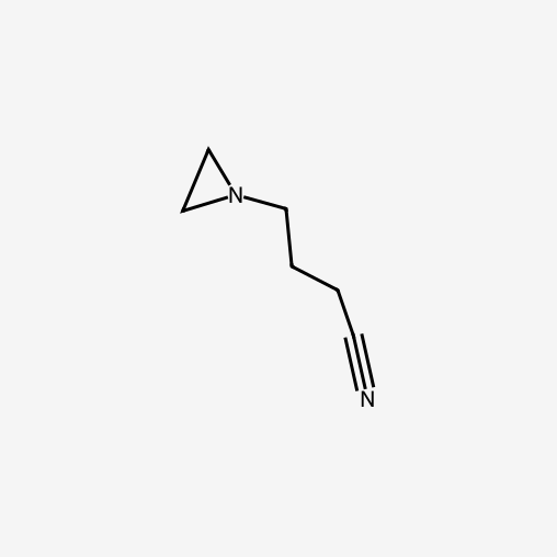 N#CCCCN1CC1